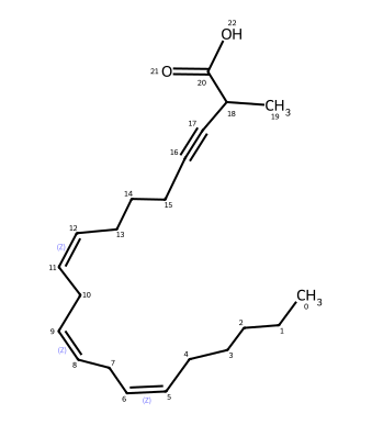 CCCCC/C=C\C/C=C\C/C=C\CCCC#CC(C)C(=O)O